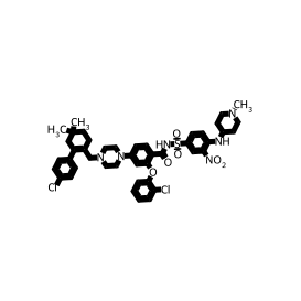 CN1CCC(Nc2ccc(S(=O)(=O)NC(=O)c3ccc(N4CCN(CC5=C(c6ccc(Cl)cc6)CC(C)(C)CC5)CC4)cc3Oc3ccccc3Cl)cc2[N+](=O)[O-])CC1